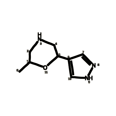 CC1CNCC(c2cn[nH]c2)O1